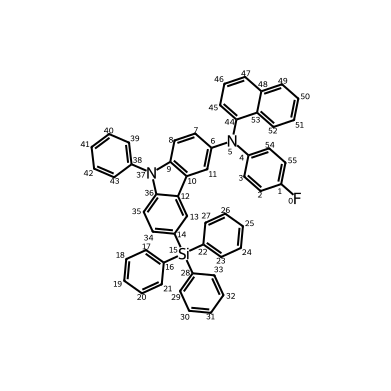 Fc1ccc(N(c2ccc3c(c2)c2cc([Si](c4ccccc4)(c4ccccc4)c4ccccc4)ccc2n3-c2ccccc2)c2cccc3ccccc23)cc1